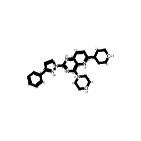 c1ccc(-c2ccn(-c3nc(N4CCOCC4)c4nc(C5CCOCC5)ccc4n3)n2)cc1